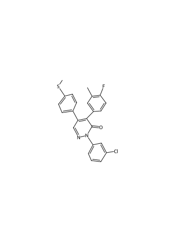 CSc1ccc(-c2cnn(-c3cccc(Cl)c3)c(=O)c2-c2ccc(F)c(C)c2)cc1